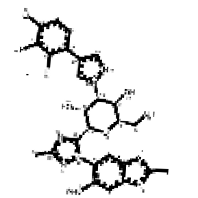 CSc1cc2nc(C)sc2cc1-n1nc(C)nc1[C@@H]1O[C@H](CO)[C@H](O)[C@H](n2cc(-c3ccc(Cl)c(F)c3F)cn2)[C@H]1O